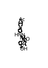 C=CCn1c(=O)c2cnc(Nc3ccc(N4CC5CC(CN(C(C)=O)C5)C4)cc3)nc2n1-c1cccc(C(C)(C)O)n1